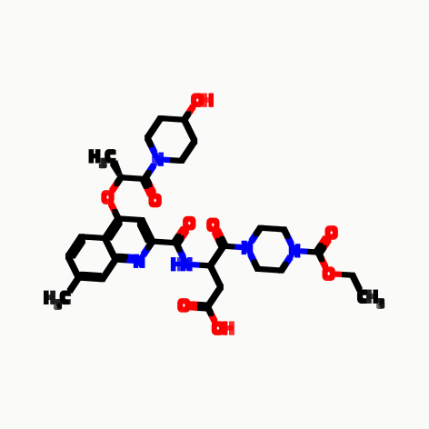 CCOC(=O)N1CCN(C(=O)C(CC(=O)O)NC(=O)c2cc(O[C@@H](C)C(=O)N3CCC(O)CC3)c3ccc(C)cc3n2)CC1